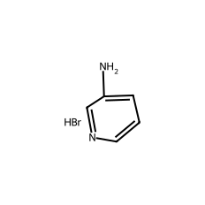 Br.Nc1cccnc1